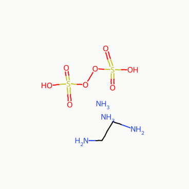 N.N.NCCN.O=S(=O)(O)OOS(=O)(=O)O